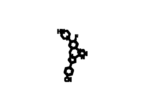 N#Cc1ccc(-c2cc3n(c2)Cc2cc(N4CCNCC4)c(F)cc2-n2cnnc2-3)cc1